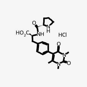 Cc1c(-c2ccc(C[C@H](NC(=O)[C@@H]3CCCN3)C(=O)O)cc2)c(=O)n(C)c(=O)n1C.Cl